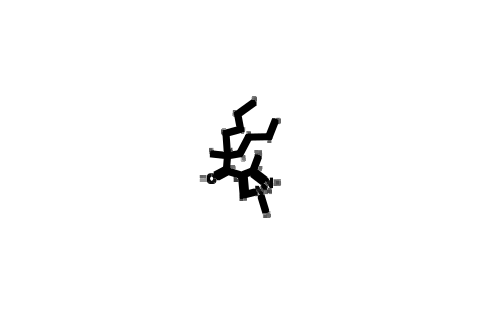 CCCCC(C)(CCCC)C(=O)c1cn(C)nc1C